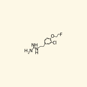 N=C(N)NCCc1ccc(OCCF)c(Cl)c1